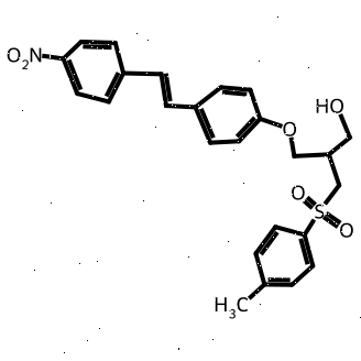 Cc1ccc(S(=O)(=O)CC(CO)COc2ccc(C=Cc3ccc([N+](=O)[O-])cc3)cc2)cc1